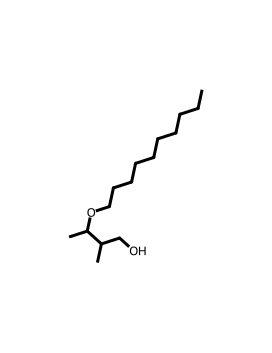 CCCCCCCCCCOC(C)C(C)CO